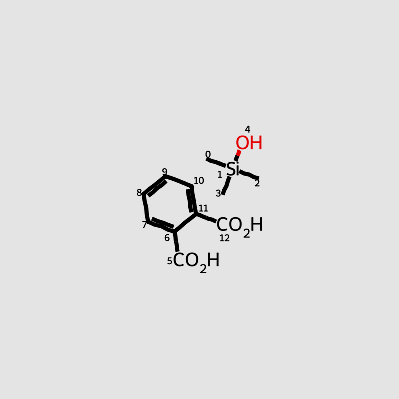 C[Si](C)(C)O.O=C(O)c1ccccc1C(=O)O